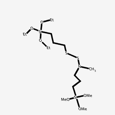 CCO[Si](CCCSSN(C)CCC[Si](OC)(OC)OC)(OCC)OCC